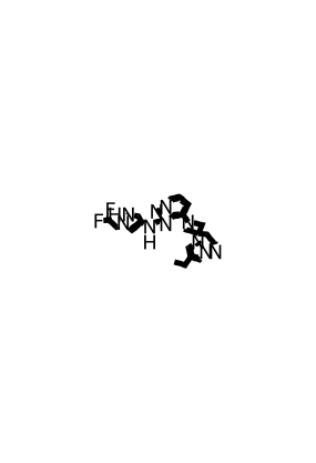 CCc1cnn(C2(CC#N)CN(c3cccn4nc(NC5=CN(CC(F)F)NC5)nc34)C2)c1